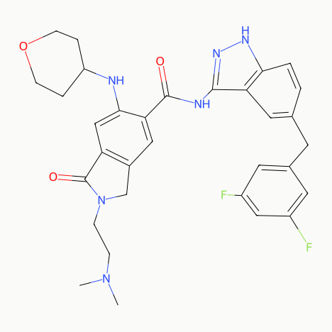 CN(C)CCN1Cc2cc(C(=O)Nc3n[nH]c4ccc(Cc5cc(F)cc(F)c5)cc34)c(NC3CCOCC3)cc2C1=O